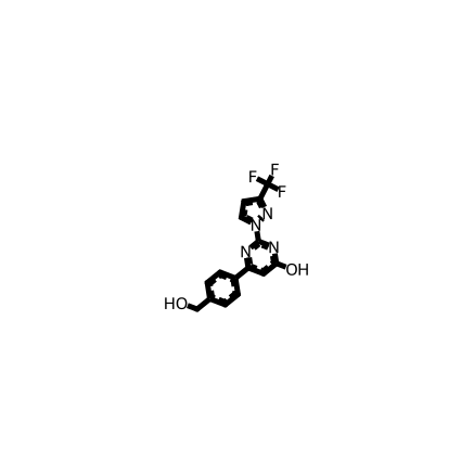 OCc1ccc(-c2cc(O)nc(-n3ccc(C(F)(F)F)n3)n2)cc1